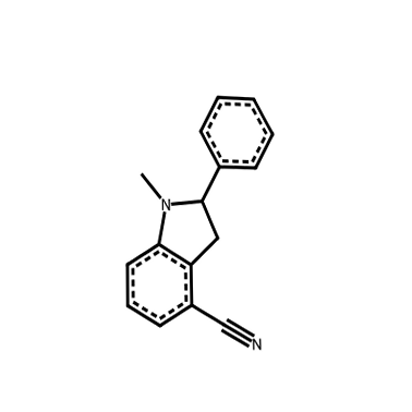 CN1c2cccc(C#N)c2CC1c1ccccc1